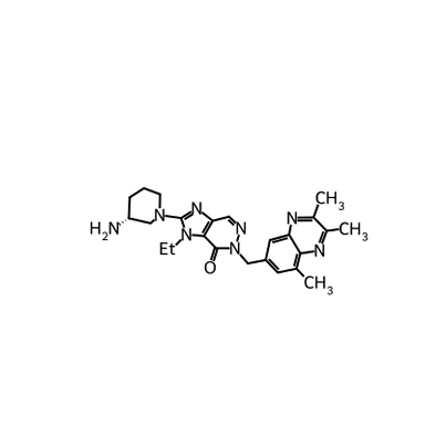 CCn1c(N2CCC[C@@H](N)C2)nc2cnn(Cc3cc(C)c4nc(C)c(C)nc4c3)c(=O)c21